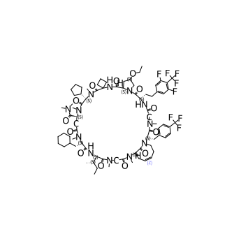 CCO[C@@H]1C[C@H]2C(=O)NC3(CCC3)C(=O)N(C)[C@@H](C3CCCC3)C(=O)N(C)[C@H](C(=O)N(C)C)CC(=O)N(C)[C@@H](CC3CCCCC3)C(=O)N[C@@H]([C@@H](C)CC)C(=O)N(C)CC(=O)N(C)[C@H]3C/C=C\CCN(C3=O)[C@@H](Cc3ccc(C(F)(F)F)cc3)C(=O)N(C)CC(=O)N[C@@H](CCc3cc(F)c(C(F)(F)F)c(F)c3)C(=O)N2C1